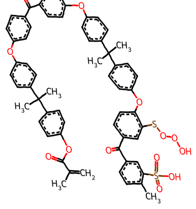 C=C(C)C(=O)Oc1ccc(C(C)(C)c2ccc(Oc3ccc(C(=O)c4ccc(Oc5ccc(C(C)(C)c6ccc(Oc7ccc(C(=O)c8ccc(C)c(S(=O)(=O)O)c8)cc7SOOO)cc6)cc5)cc4)cc3)cc2)cc1